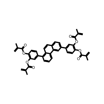 C=C(C)C(=O)Oc1ccc(-c2ccc3ccc4c(-c5ccc(OC(=O)C(=C)C)c(OC(=O)C(=C)C)c5)cccc4c3c2)cc1OC(=O)C(=C)C